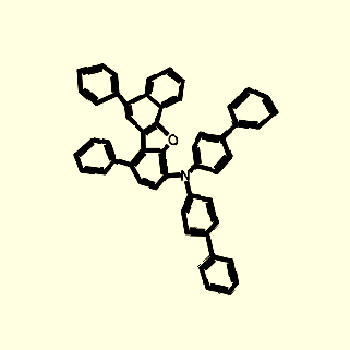 c1ccc(-c2ccc(N(c3ccc(-c4ccccc4)cc3)c3ccc(-c4ccccc4)c4c3oc3c5ccccc5c(-c5ccccc5)cc34)cc2)cc1